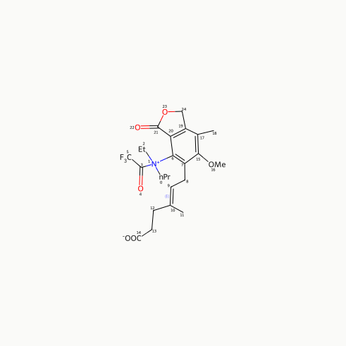 CCC[N+](CC)(C(=O)C(F)(F)F)c1c(C/C=C(\C)CCC(=O)[O-])c(OC)c(C)c2c1C(=O)OC2